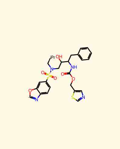 CC(C)CN(CC(O)C(Cc1ccccc1)NC(=O)OCc1cncs1)S(=O)(=O)c1ccc2n[c]oc2c1